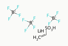 C=CS(=O)(=O)O.F[B-](F)(F)F.F[B-](F)(F)F.F[B-](F)(F)F.[LiH]